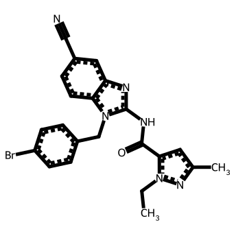 CCn1nc(C)cc1C(=O)Nc1nc2cc(C#N)ccc2n1Cc1ccc(Br)cc1